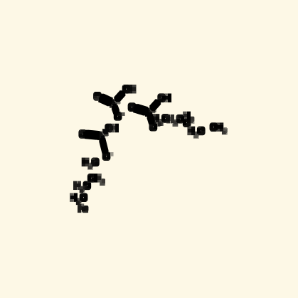 O.O.O.O.O.O.O.O.O.O=[N+]([O-])O.O=[N+]([O-])O.O=[N+]([O-])O.[Fe]